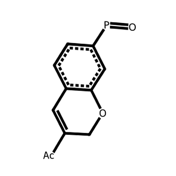 CC(=O)C1=Cc2ccc(P=O)cc2OC1